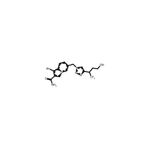 CC(C)c1c(C(N)=O)cn2cc(Cn3cc(C(CCO)C(F)(F)F)nn3)ccc12